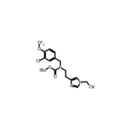 CC(C)(C)OC(=O)N(CCc1cn(CC#N)cn1)Cc1ccc(OC(F)(F)F)c(Cl)c1